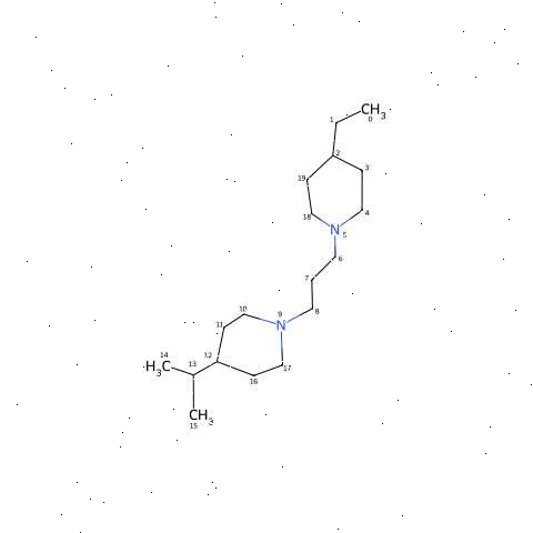 CCC1CCN(CCCN2CCC(C(C)C)CC2)CC1